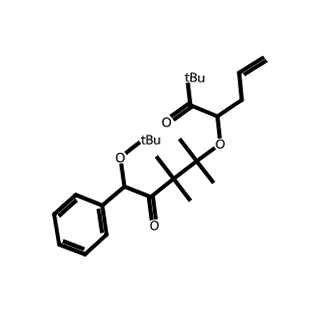 C=CCC(OC(C)(C)C(C)(C)C(=O)C(OC(C)(C)C)c1ccccc1)C(=O)C(C)(C)C